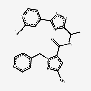 CC(NC(=O)c1cc(C(F)(F)F)nn1Cc1ccncc1)c1nc(-c2ccnc(C(F)(F)F)c2)no1